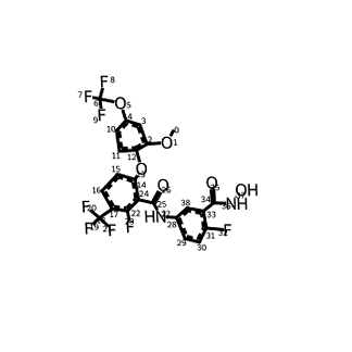 COc1cc(OC(F)(F)F)ccc1Oc1ccc(C(F)(F)F)c(F)c1C(=O)Nc1ccc(F)c(C(=O)NO)c1